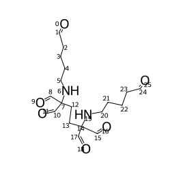 O=CCCCCNC(C=O)(C=O)CCC(C=O)(C=O)NCCCCC=O